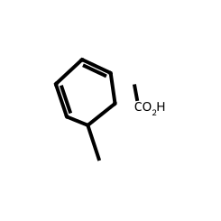 CC(=O)O.CC1C=CC=CC1